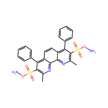 Cc1nc2c(ccc3c(-c4ccccc4)c(S(=O)(=O)ON)c(C)nc32)c(-c2ccccc2)c1S(=O)(=O)ON